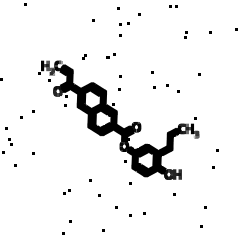 C=CC(=O)c1ccc2cc(C(=O)Oc3ccc(O)c(CCC)c3)ccc2c1